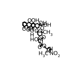 COc1cccc2c1C(=O)c1c(O)c3c(c(O)c1C2=O)CC(O)(C(=O)CO)CC3OC1CC2C(OC3CN(C(=O)OCc4cnc([N+](=O)[O-])n4C)CC(O)N32)C(C)O1